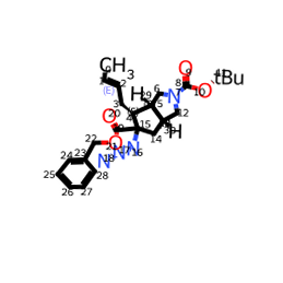 C/C=C/C[C@H]1[C@@H]2CN(C(=O)OC(C)(C)C)C[C@@H]2CC1(N=[N+]=[N-])C(=O)OCc1ccccc1